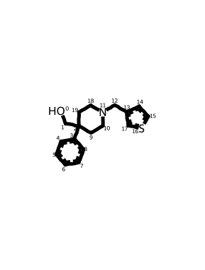 OCC1(c2ccccc2)CCN(Cc2ccsc2)CC1